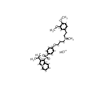 COc1ccc(CCN(C)CCCOc2ccc(S(=O)(=O)c3c(C(C)C)cn4ccccc34)cc2)cc1OC.Cl